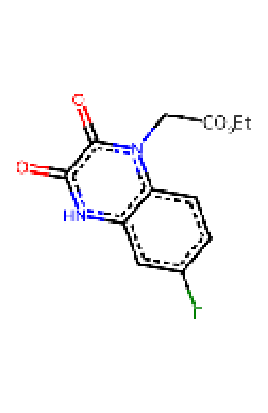 CCOC(=O)Cn1c(=O)c(=O)[nH]c2cc(F)ccc21